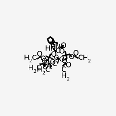 C=CC(=O)OCC(COC(=O)C=C)(COC(=O)C=C)COC(=O)NCC1CC2CCC1C2CNC(=O)OCC(COC(=O)C=C)(COC(=O)C=C)COC(=O)C=C